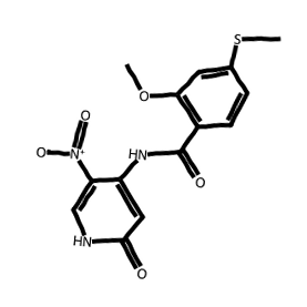 COc1cc(SC)ccc1C(=O)Nc1cc(=O)[nH]cc1[N+](=O)[O-]